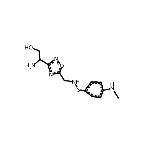 CNc1ccc(SNCc2nc(C(N)CO)no2)cc1